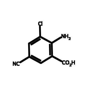 N#Cc1cc(Cl)c(N)c(C(=O)O)c1